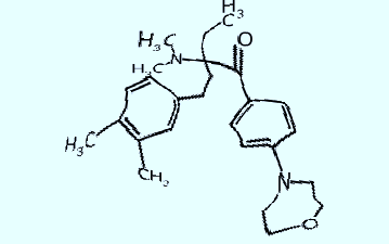 CCC(Cc1ccc(C)c(C)c1)(C(=O)c1ccc(N2CCOCC2)cc1)N(C)C